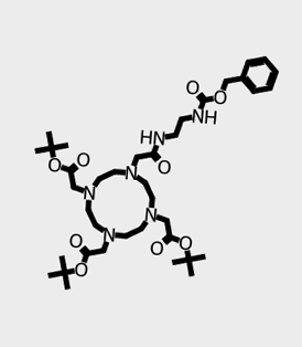 CC(C)(C)OC(=O)CN1CCN(CC(=O)NCCNC(=O)OCc2ccccc2)CCN(CC(=O)OC(C)(C)C)CCN(CC(=O)OC(C)(C)C)CC1